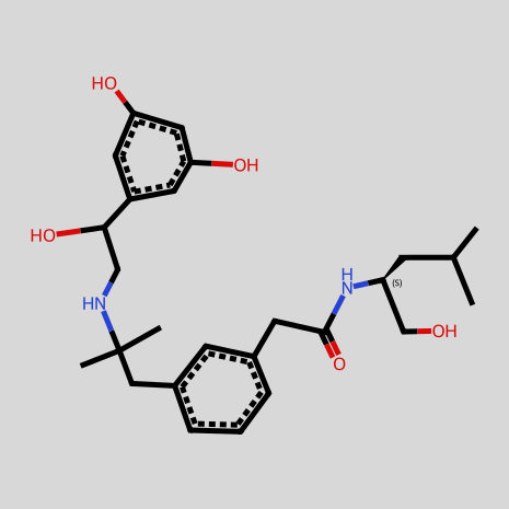 CC(C)C[C@@H](CO)NC(=O)Cc1cccc(CC(C)(C)NCC(O)c2cc(O)cc(O)c2)c1